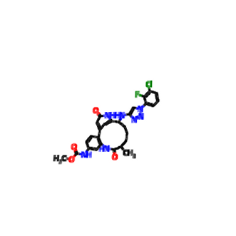 COC(=O)Nc1ccc2c(c1)NC(=O)C(C)CCC[C@H](Nc1cn(-c3cccc(Cl)c3F)nn1)c1cc-2cc(=O)[nH]1